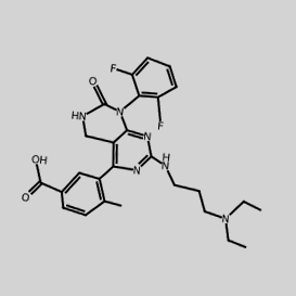 CCN(CC)CCCNc1nc(-c2cc(C(=O)O)ccc2C)c2c(n1)N(c1c(F)cccc1F)C(=O)NC2